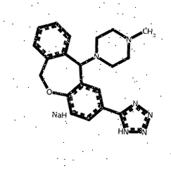 CN1CCN(C2c3ccccc3COc3ccc(-c4nnn[nH]4)cc32)CC1.[NaH]